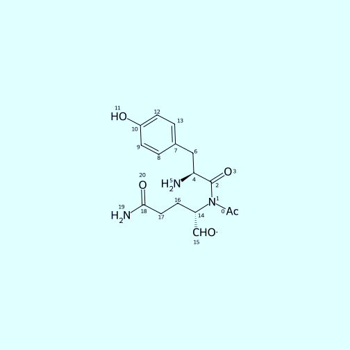 CC(=O)N(C(=O)[C@@H](N)Cc1ccc(O)cc1)[C@H]([C]=O)CCC(N)=O